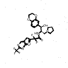 O=C(N[C@H](CN1CCCC1)[C@H](O)c1ccc2c(c1)OCCO2)C(F)(F)c1cc2cnc(C(F)(F)F)nc2o1